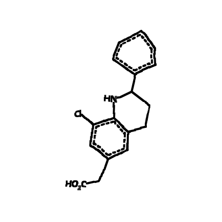 O=C(O)Cc1cc(Cl)c2c(c1)CCC(c1ccccc1)N2